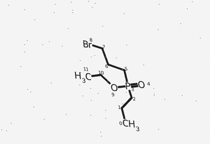 CCCP(=O)(CCCBr)OCC